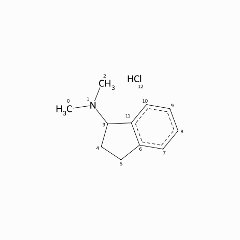 CN(C)C1CCc2ccccc21.Cl